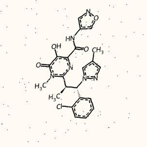 Cc1cnn([C@H](c2ccccc2Cl)[C@@H](C)c2nc(C(=O)Nc3cnoc3)c(O)c(=O)n2C)c1